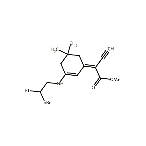 C#C/C(C(=O)OC)=C1/C=C(NCC(CC)CCCC)CC(C)(C)C1